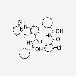 O=C(NC(O)C1CCCCCC1)c1cccc(N2CN=C3C=CC=CN32)c1Cl.O=C(NC(O)C1CCCCCC1)c1ccccc1Cl